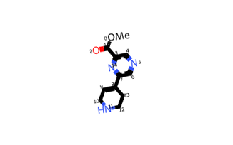 COC(=O)c1cncc(C2=CCNCC2)n1